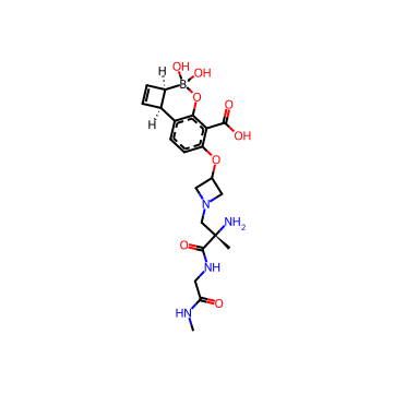 CNC(=O)CNC(=O)[C@@](C)(N)CN1CC(Oc2ccc3c(c2C(=O)O)O[B-](O)(O)[C@@H]2C=C[C@H]32)C1